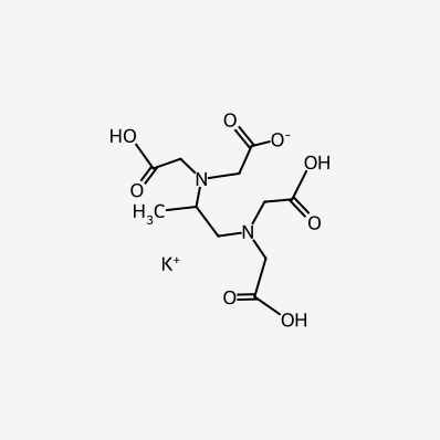 CC(CN(CC(=O)O)CC(=O)O)N(CC(=O)[O-])CC(=O)O.[K+]